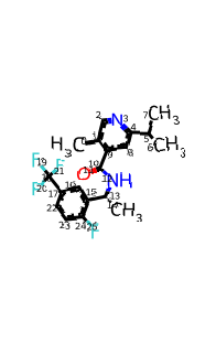 Cc1cnc(C(C)C)cc1C(=O)N[C@H](C)c1cc(C(F)(F)F)ccc1F